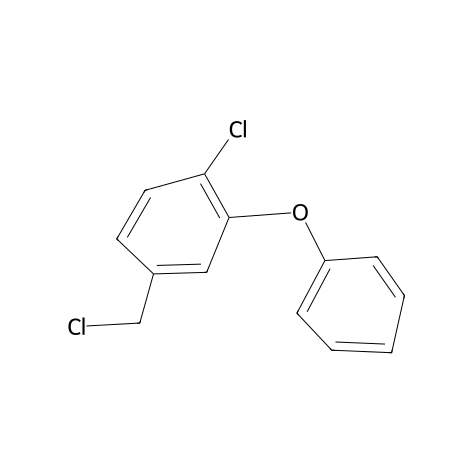 ClCc1ccc(Cl)c(Oc2ccccc2)c1